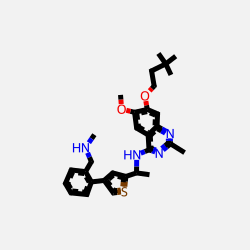 CNCc1ccccc1-c1csc(C(C)Nc2nc(C)nc3cc(OCCC(C)(C)C)c(OC)cc23)c1